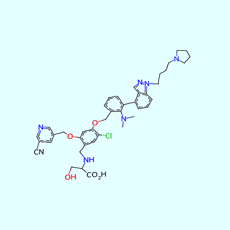 CN(C)c1c(COc2cc(OCc3cncc(C#N)c3)c(CNC(CO)C(=O)O)cc2Cl)cccc1-c1cccc2c1cnn2CCCCN1CCCC1